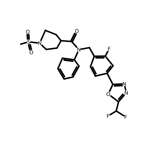 CS(=O)(=O)N1CCC(C(=O)N(Cc2ccc(-c3nnc(C(F)F)o3)cc2F)c2ccccc2)CC1